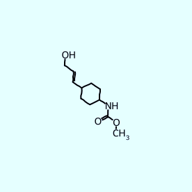 COC(=O)NC1CCC(C=CCO)CC1